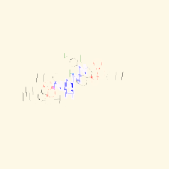 CCOC(=O)c1cn(-c2c(F)cc(F)cc2F)c2nc(NC[C@@H](C)NC(=O)OC(C)(C)C)ccc2c1=O